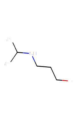 CCCC(CCC)NCCC[O]